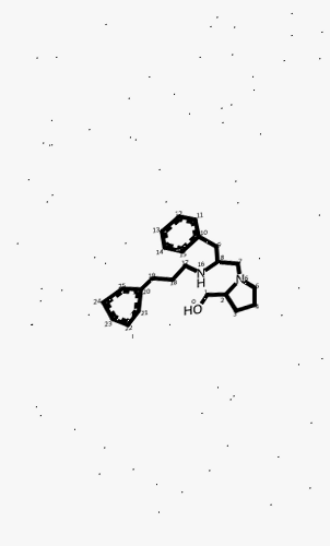 OCC1CCCN1CC(Cc1ccccc1)NCCCc1ccccc1